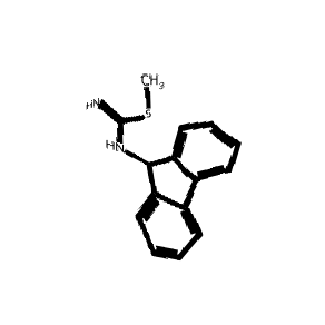 CSC(=N)NC1c2ccccc2-c2ccccc21